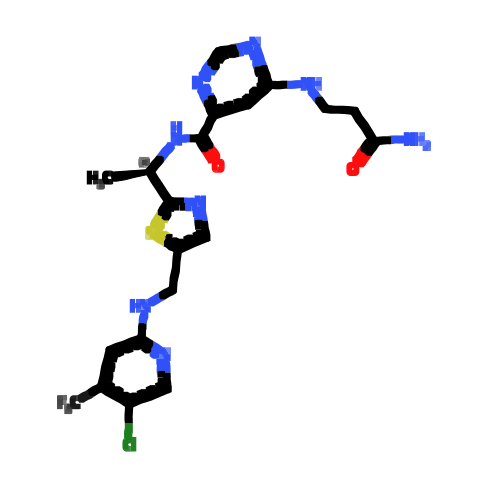 C[C@@H](NC(=O)c1cc(NCCC(N)=O)ncn1)c1ncc(CNc2cc(C(F)(F)F)c(Cl)cn2)s1